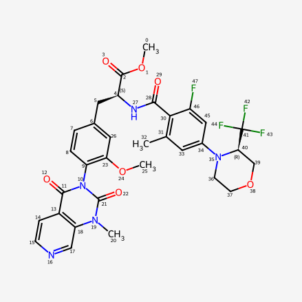 COC(=O)[C@H](Cc1ccc(-n2c(=O)c3ccncc3n(C)c2=O)c(OC)c1)NC(=O)c1c(C)cc(N2CCOC[C@@H]2C(F)(F)F)cc1F